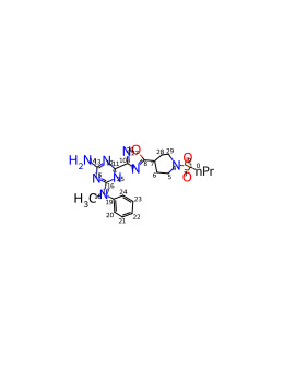 CCCS(=O)(=O)N1CCC(c2nc(-c3nc(N)nc(N(C)c4ccccc4)n3)no2)CC1